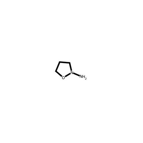 NN1CCCO1